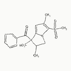 Cc1cc2n(c1S(C)(=O)=O)CC(C)C2(C(=O)O)C(=O)c1ccccc1